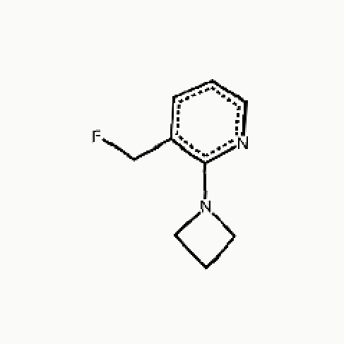 FCc1cccnc1N1CCC1